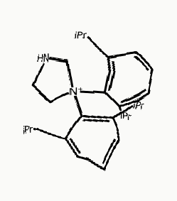 CC(C)c1cccc(C(C)C)c1[N+]1(c2c(C(C)C)cccc2C(C)C)CCNC1